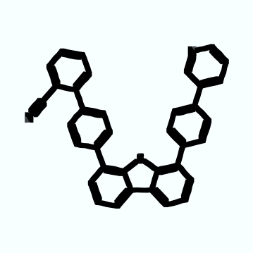 N#Cc1ccccc1-c1ccc(-c2cccc3c2sc2c(-c4ccc(-c5cccnc5)cc4)cccc23)cc1